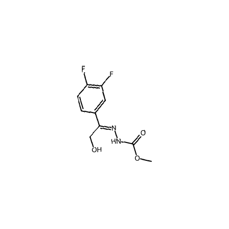 COC(=O)NN=C(CO)c1ccc(F)c(F)c1